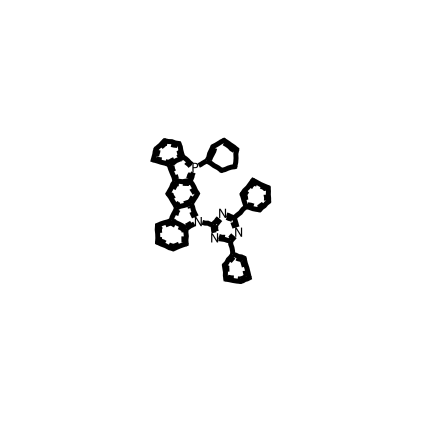 C1=CCCC(p2c3ccccc3c3cc4c5ccccc5n(-c5nc(-c6ccccc6)nc(-c6ccccc6)n5)c4cc32)=C1